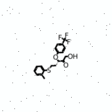 Cc1ccccc1SCC[C@H](Oc1ccc(C(F)(F)F)cc1)C(=O)CO